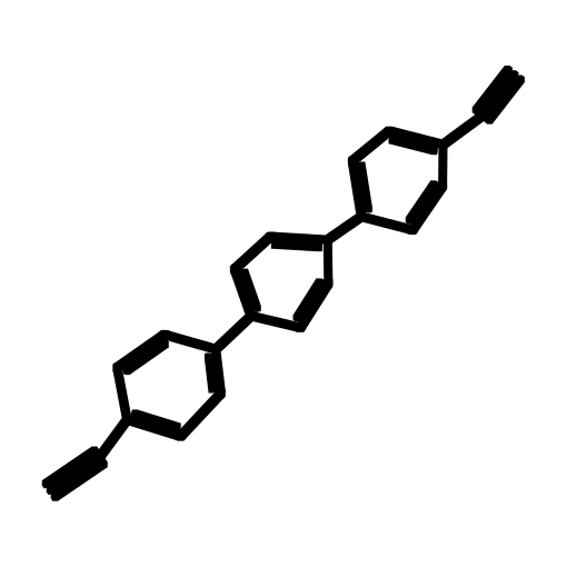 C#Cc1ccc(-c2ccc(-c3ccc(C#C)cc3)cc2)cc1